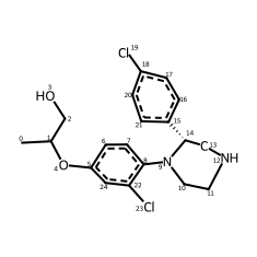 CC(CO)Oc1ccc(N2CCNC[C@H]2c2ccc(Cl)cc2)c(Cl)c1